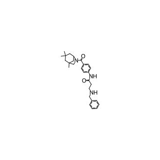 CC1(C)CC2CC(C)(CN2C(=O)c2ccc(NC(=O)CCNCc3ccccc3)cc2)C1